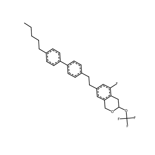 CCCCCc1ccc(-c2ccc(CCc3cc(F)c4c(c3)COC(OC(F)(F)F)C4)cc2)cc1